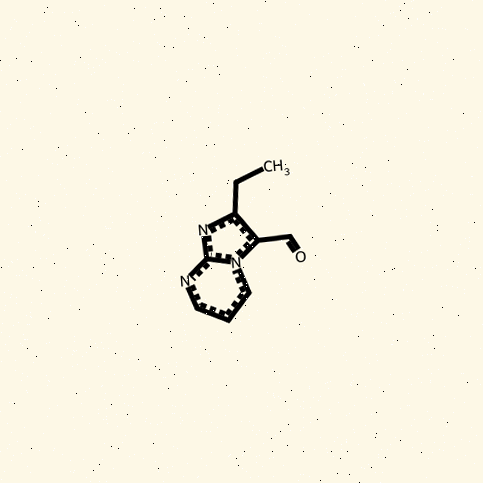 CCc1nc2ncccn2c1C=O